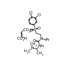 CC(NC(=O)N(CCS(=O)(=O)c1ccc(Cl)c(Cl)c1)C(C)C)N(C)C.O=C(O)/C=C\C(=O)O